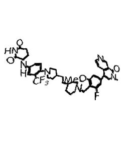 COc1cc(-c2cn(C)c(=O)c3cnccc23)cc(F)c1CN1CCC(CCC2CCN(c3ccc(NC4CCC(=O)NC4=O)cc3C(F)(F)F)CC2)CC1